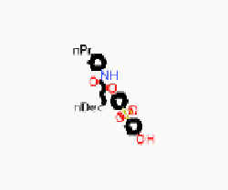 [CH2]CCc1ccc(NC(=O)C(CCCCCCCCCCCC)Oc2ccc(S(=O)(=O)c3ccc(O)cc3)cc2)cc1